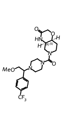 COCC(c1ccc(C(F)(F)F)cc1)N1CCN(C(=O)N2CC[C@@H]3OCC(=O)N[C@@H]3C2)CC1